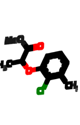 COC(=O)C(C)Oc1cccc(C)c1Cl